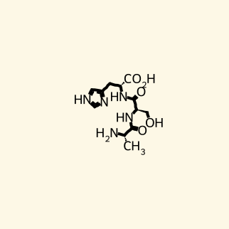 C[C@H](N)C(=O)N[C@H](CO)C(=O)N[C@H](Cc1c[nH]cn1)C(=O)O